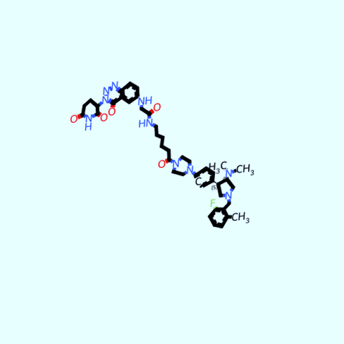 Cc1cccc(F)c1CN1C[C@H](c2ccc(N3CCN(C(=O)CCCCCNC(=O)CNc4ccc5nnn(C6CCC(=O)NC6=O)c(=O)c5c4)CC3)cc2)[C@@H](N(C)C)C1